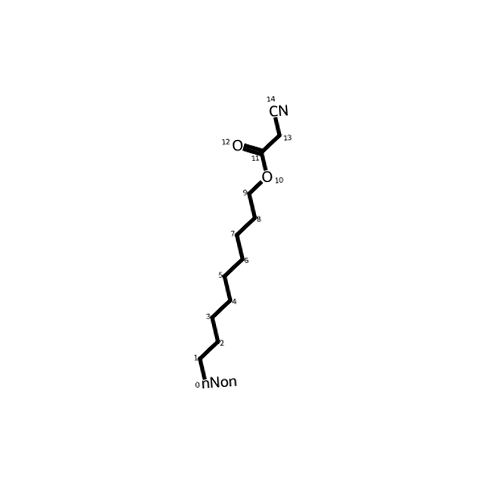 CCCCCCCCCCCCCCCCCCOC(=O)CC#N